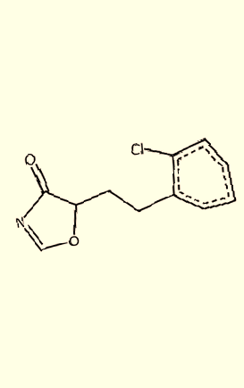 O=C1N=COC1CCc1ccccc1Cl